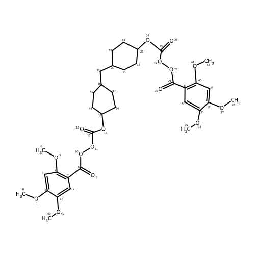 COc1cc(OC)c(C(=O)OOC(=O)OC2CCC(CC3CCC(OC(=O)OOC(=O)c4cc(OC)c(OC)cc4OC)CC3)CC2)cc1OC